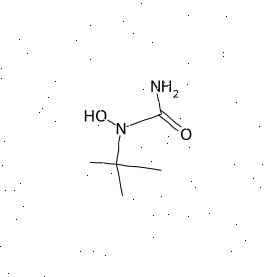 CC(C)(C)N(O)C(N)=O